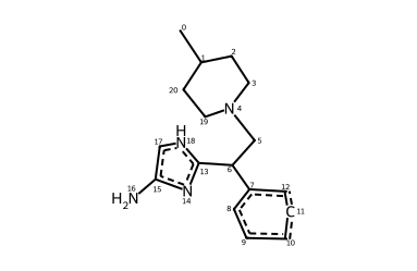 CC1CCN(CC(c2ccccc2)c2nc(N)c[nH]2)CC1